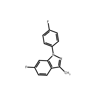 Cc1nn(-c2ccc(F)cc2)c2cc(F)ccc12